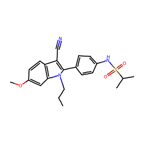 CCCn1c(-c2ccc(NS(=O)(=O)C(C)C)cc2)c(C#N)c2ccc(OC)cc21